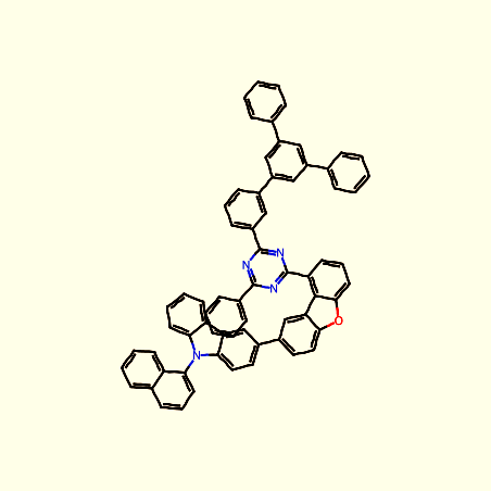 c1ccc(-c2cc(-c3ccccc3)cc(-c3cccc(-c4nc(-c5ccccc5)nc(-c5cccc6oc7ccc(-c8ccc9c(c8)c8ccccc8n9-c8cccc9ccccc89)cc7c56)n4)c3)c2)cc1